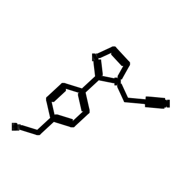 N#CCn1ccnc1-c1ccc(CBr)cc1